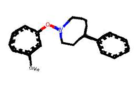 COc1cccc(ON2CCC(c3[c]cccc3)CC2)c1